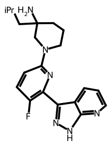 CC(C)CC1(N)CCCN(c2ccc(F)c(-c3n[nH]c4ncccc34)n2)C1